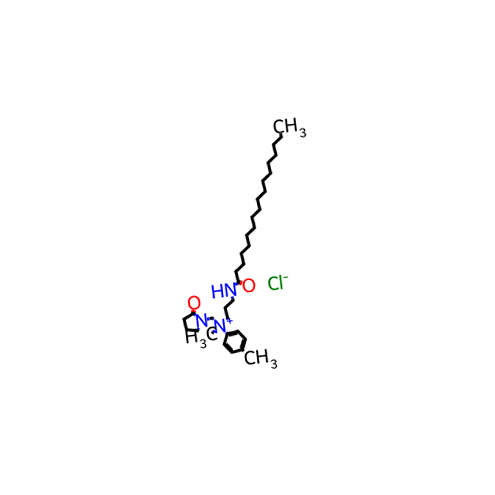 CCCCCCCCCCCCCCCCCC(=O)NCCC[N+](C)(CN1CCCC1=O)c1ccc(C)cc1.[Cl-]